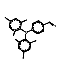 Cc1cc(C)c(B(c2ccc(C=O)cc2)c2c(C)cc(C)cc2C)c(C)c1